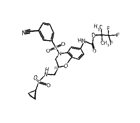 CC(C)(OC(=O)Nc1ccc2c(c1)N(S(=O)(=O)c1cccc(C#N)c1)C[C@H](CNS(=O)(=O)C1CC1)O2)C(F)(F)F